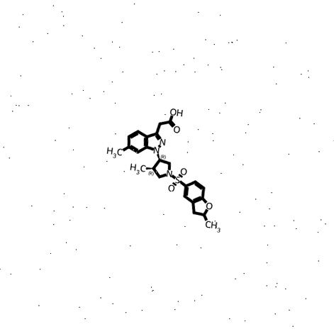 Cc1ccc2c(CC(=O)O)nn([C@H]3CN(S(=O)(=O)c4ccc5c(c4)CC(C)O5)C[C@H]3C)c2c1